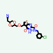 N#CCC1COC(COCc2csc3nc(C(=O)NCc4cccc(Cl)c4)[nH]c(=O)c23)CO1